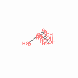 CC(C)(CO)CO.COC(=O)c1ccc(C(=O)OC)cc1.O=C(O)CCCCCCCC(=O)O.O=C(O)c1cccc(C(=O)O)c1.OCCO